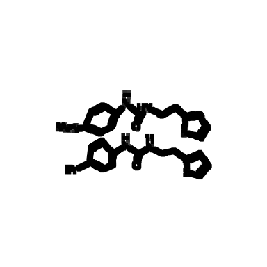 CC(C)c1ccc(NC(=O)NCCc2cccs2)cc1.CSc1ccc(NC(=O)NCCc2cccs2)cc1